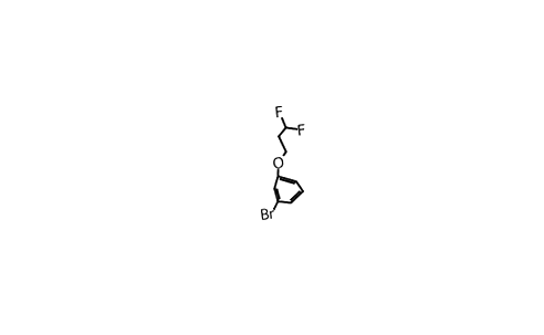 FC(F)CCOc1cccc(Br)c1